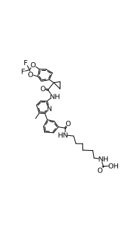 Cc1ccc(NC(=O)C2(c3ccc4c(c3)OC(F)(F)O4)CC2)nc1-c1cccc(C(=O)NCCCCCCNC(=O)O)c1